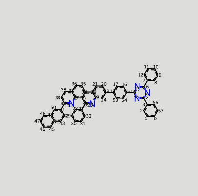 c1ccc(-c2nc(-c3ccccc3)nc(-c3ccc(-c4ccc5c(c4)nc(-c4ccccc4)c4c5ccc5ccc(-c6ccc7ccccc7c6)nc54)cc3)n2)cc1